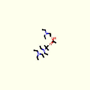 CC(=O)O.CCN(CC)C(C)(C)C.CCN(CC)CC.CCN(CC)CC